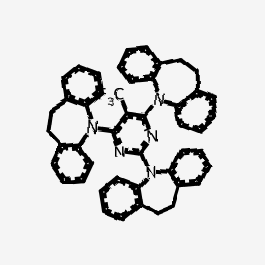 FC(F)(F)c1c(N2c3ccccc3CCc3ccccc32)nc(N2c3ccccc3CCc3ccccc32)nc1N1c2ccccc2CCc2ccccc21